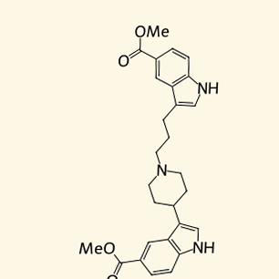 COC(=O)c1ccc2[nH]cc(CCCN3CCC(c4c[nH]c5ccc(C(=O)OC)cc45)CC3)c2c1